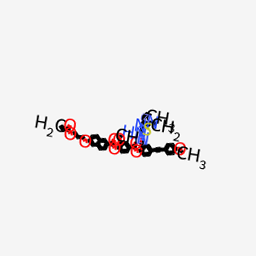 C=CC(=O)OCCCOc1ccc2cc(C(=O)Oc3ccc(C(=O)Oc4ccc(C#Cc5ccc(OC)cc5)cc4/C=N/Nc4nc(/C=C\C)c(N=C)s4)cc3OC)ccc2c1